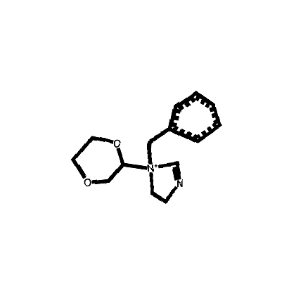 C1=NCC[N+]1(Cc1ccccc1)C1COCCO1